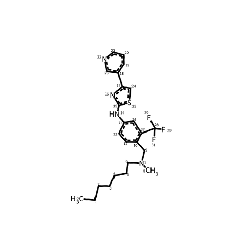 CCCCCCCN(C)Cc1ccc(Nc2nc(-c3cccnc3)cs2)cc1C(F)(F)F